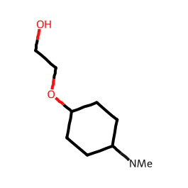 CNC1CCC(OCCO)CC1